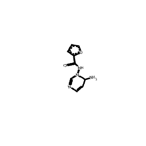 NC1C=CN=CN1NC(=O)c1ccco1